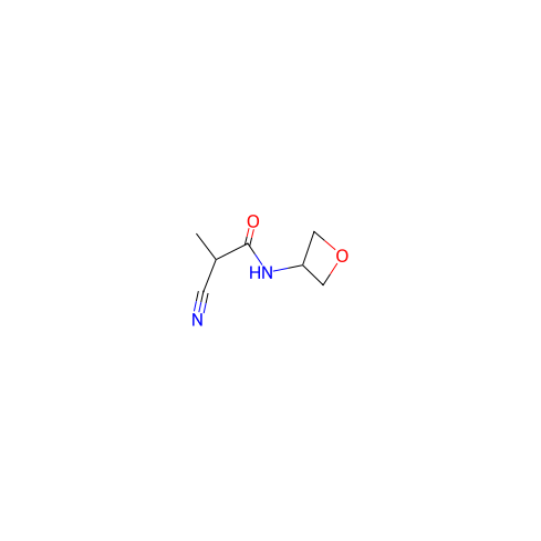 CC(C#N)C(=O)NC1COC1